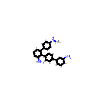 CCCCNc1ccc(-c2cccc(N)c2-c2ccc(-c3cccc(N)c3)cc2)cc1